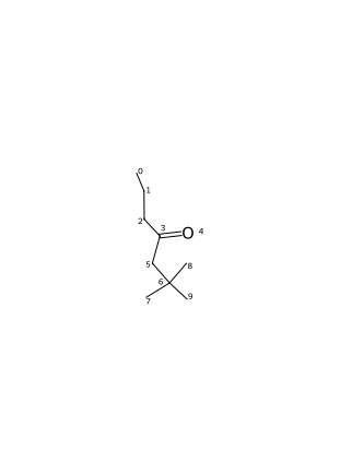 CCCC(=O)CC(C)(C)C